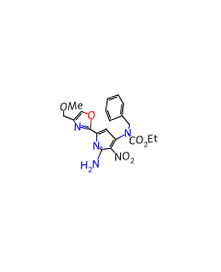 CCOC(=O)N(Cc1ccccc1)c1cc(-c2nc(COC)co2)nc(N)c1[N+](=O)[O-]